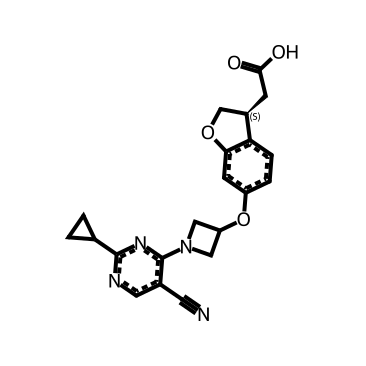 N#Cc1cnc(C2CC2)nc1N1CC(Oc2ccc3c(c2)OC[C@H]3CC(=O)O)C1